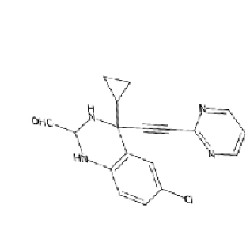 O=CC1Nc2ccc(Cl)cc2C(C#Cc2ncccn2)(C2CC2)N1